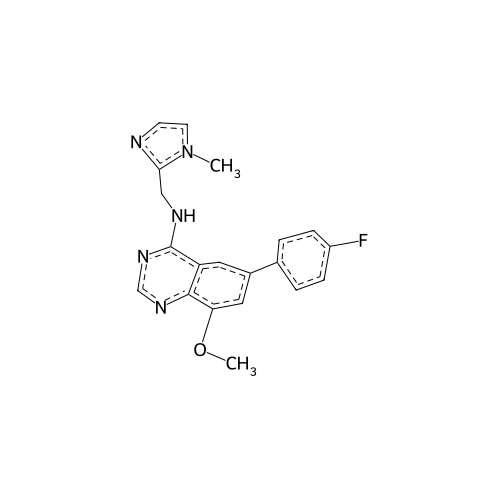 COc1cc(-c2ccc(F)cc2)cc2c(NCc3nccn3C)ncnc12